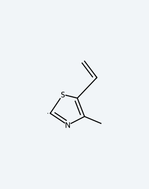 C=Cc1s[c]nc1C